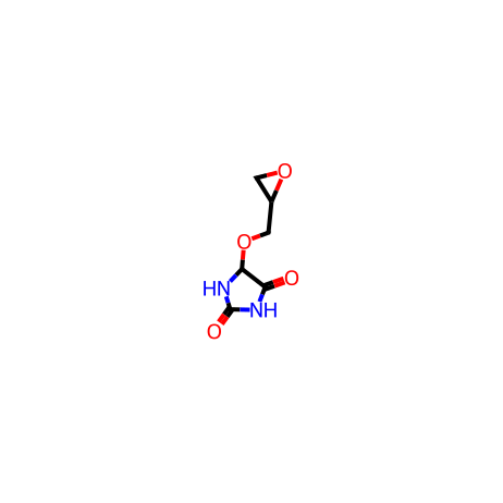 O=C1NC(=O)C(OCC2CO2)N1